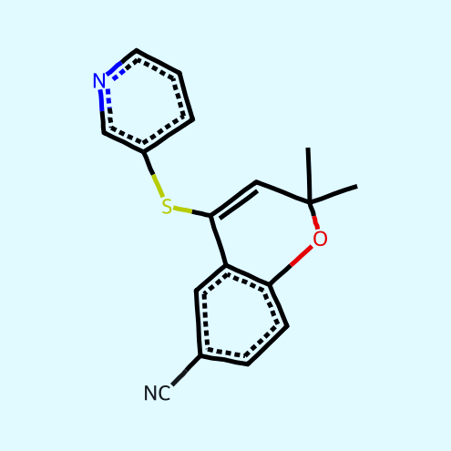 CC1(C)C=C(Sc2cccnc2)c2cc(C#N)ccc2O1